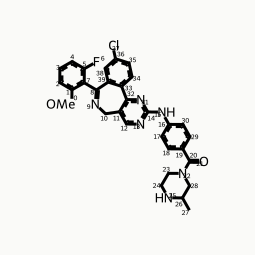 COc1cccc(F)c1C1=NCc2cnc(Nc3ccc(C(=O)N4CCNC(C)C4)cc3)nc2-c2ccc(Cl)cc21